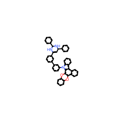 C1=C(c2cccc(-c3cccc(-n4c5ccccc5c5c6ccccc6c6c(c54)Oc4ccccc4O6)c3)c2)NC(c2ccccc2)NC1c1ccccc1